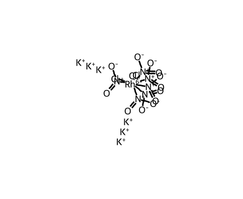 O=[N+]([O-])[Rh-6]([Cl])([Cl])([Cl])([N+](=O)[O-])([N+](=O)[O-])([N+](=O)[O-])([N+](=O)[O-])[N+](=O)[O-].[K+].[K+].[K+].[K+].[K+].[K+]